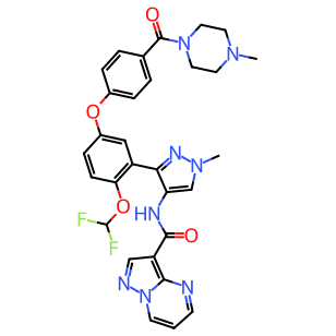 CN1CCN(C(=O)c2ccc(Oc3ccc(OC(F)F)c(-c4nn(C)cc4NC(=O)c4cnn5cccnc45)c3)cc2)CC1